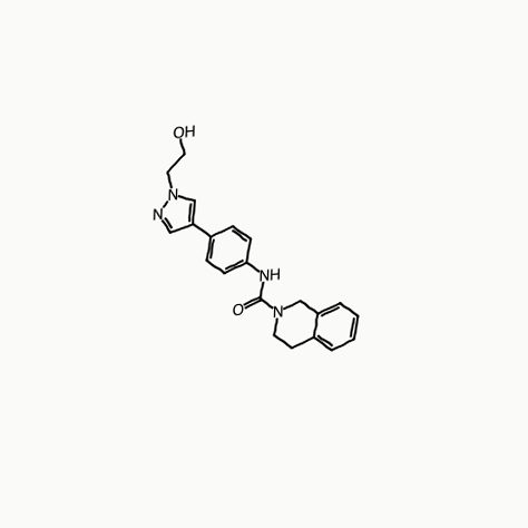 O=C(Nc1ccc(-c2cnn(CCO)c2)cc1)N1CCc2ccccc2C1